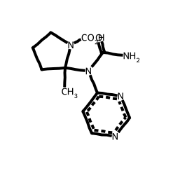 CC1(N(C(N)=O)c2ccncn2)CCCN1C(=O)O